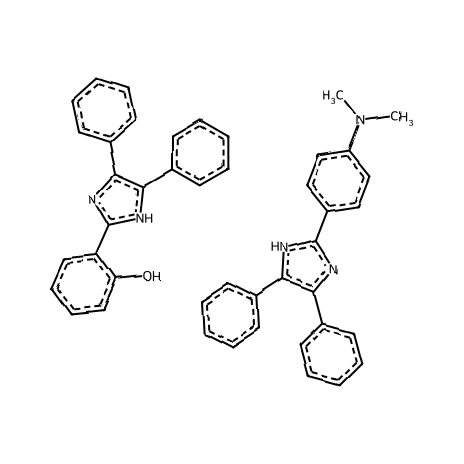 CN(C)c1ccc(-c2nc(-c3ccccc3)c(-c3ccccc3)[nH]2)cc1.Oc1ccccc1-c1nc(-c2ccccc2)c(-c2ccccc2)[nH]1